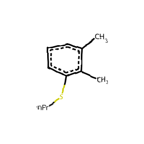 CC[CH]Sc1cccc(C)c1C